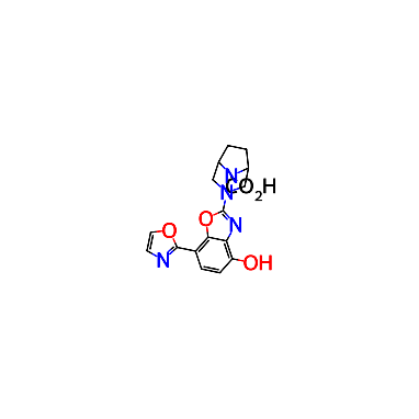 O=C(O)N1C2CCC1CN(c1nc3c(O)ccc(-c4ncco4)c3o1)C2